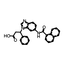 O=C(O)CC(c1ccccc1)n1cnc2ccc(NC(=O)c3cccc4ccccc34)cc21